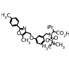 Cc1ccc(-c2nc(COc3cccc(CN(C(C(=O)O)C(C)C)S(=O)(=O)N(C)C)c3)c(C)o2)cc1